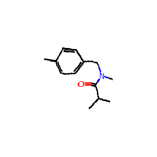 Cc1ccc(CN(C)C(=O)C(C)C)cc1